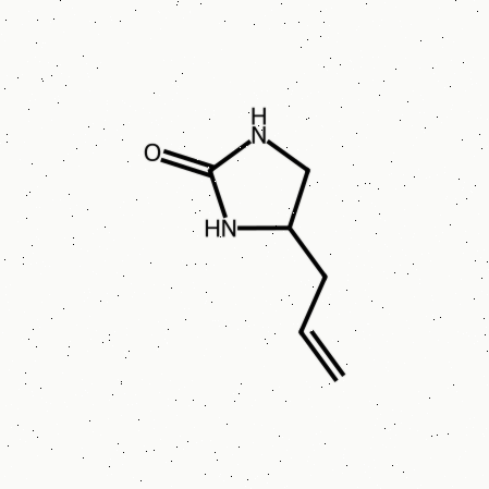 C=CCC1CNC(=O)N1